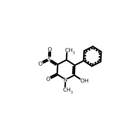 CC1C(c2ccccc2)=C(O)N(C)C(=O)C1=S(=O)=O